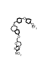 O=[N+]([O-])c1cn2c(n1)OC(COc1ccc3c(c1)CCCN(Cc1ccc(Oc4ccc(OC(F)(F)F)cc4)cc1)C3)CC2